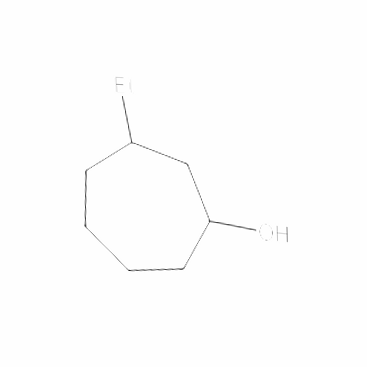 CCC1CCCCC(O)C1